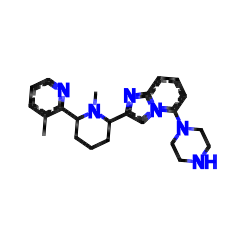 Cc1cccnc1C1CCCC(c2cn3c(N4CCNCC4)cccc3n2)N1C